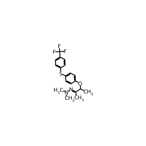 CC(=NN(C)C)C(C)Oc1ccc(Sc2ccc(C(F)(F)F)cc2)cc1